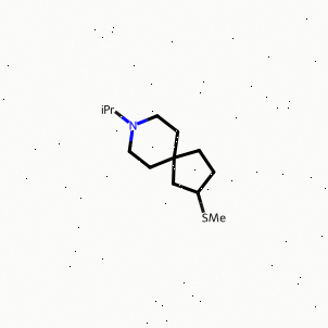 CSC1CCC2(CCN(C(C)C)CC2)C1